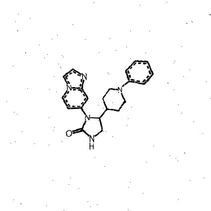 O=C1NCC(C2CCN(c3ccccc3)CC2)N1c1ccn2ccnc2c1